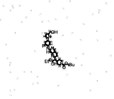 CCOC(O)C(c1ccc2cnc(Nc3ccc(-n4ccc(CO)n4)cc3F)cc2n1)C1CCN(C(=O)OC(C)(C)C)CC1